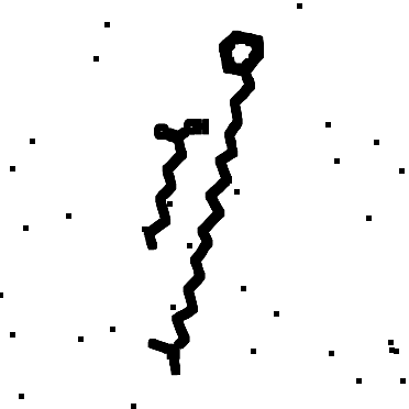 CCCCCCCC(=O)O.CN(C)CCCCCCCCCCCCCCCCCc1ccccc1